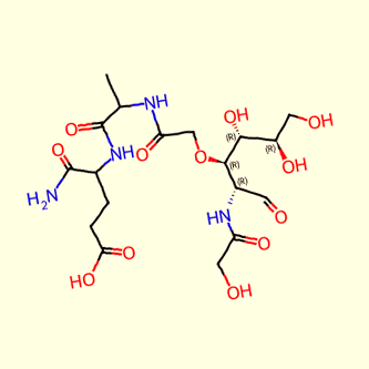 CC(NC(=O)CO[C@@H]([C@H](O)[C@H](O)CO)[C@H](C=O)NC(=O)CO)C(=O)NC(CCC(=O)O)C(N)=O